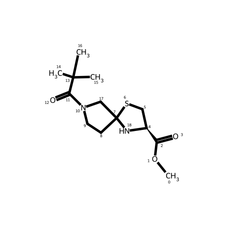 COC(=O)[C@@H]1CSC2(CCN(C(=O)C(C)(C)C)C2)N1